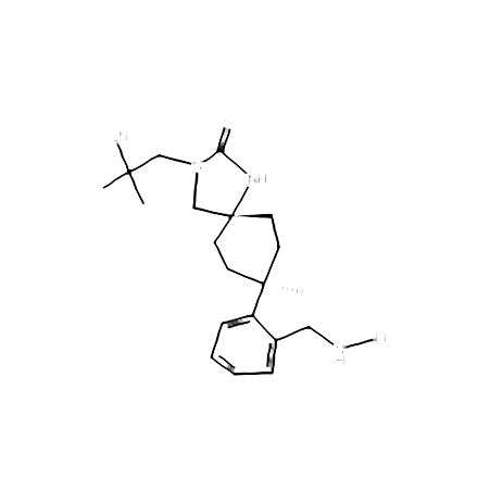 CCNCc1ccccc1[C@]1(C)CC[C@@]2(CC1)CN(CC(C)(C)C#N)C(=O)N2